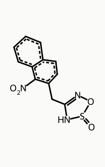 O=[N+]([O-])c1c(CC2=NOS(=O)N2)ccc2ccccc12